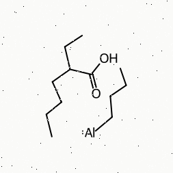 CCCCC(CC)C(=O)O.CCC[CH2][Al]